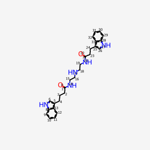 O=C(CCCc1c[nH]c2ccccc12)NCCNCCNC(=O)CCc1c[nH]c2ccccc12